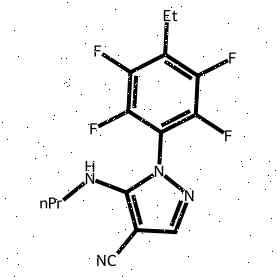 CCCNc1c(C#N)cnn1-c1c(F)c(F)c(CC)c(F)c1F